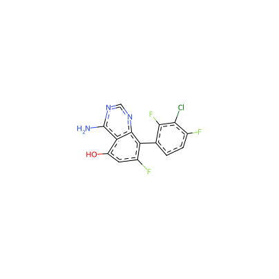 Nc1ncnc2c(-c3ccc(F)c(Cl)c3F)c(F)cc(O)c12